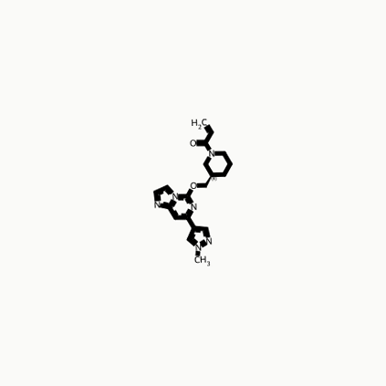 C=CC(=O)N1CCC[C@@H](COc2nc(-c3cnn(C)c3)cc3nccn23)C1